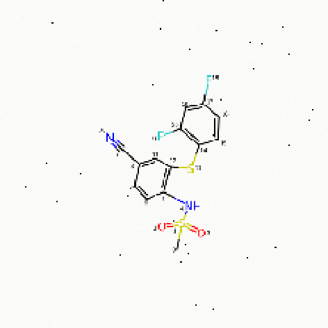 CS(=O)(=O)Nc1ccc(C#N)cc1Sc1ccc(F)cc1F